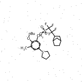 CCCCOc1c(C)cc([S+]2CCCC2)cc1C.O=S(=O)([O-])C(F)(F)C(F)(F)C1CC2CCC1C2